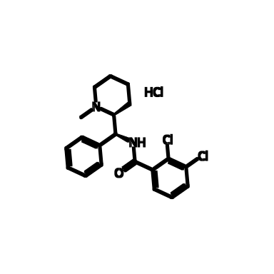 CN1CCCC[C@H]1[C@@H](NC(=O)c1cccc(Cl)c1Cl)c1ccccc1.Cl